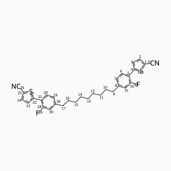 N#Cc1ccc(-c2ccc(CCCCCCCCCc3ccc(-c4ccc(C#N)s4)c(F)c3)cc2F)s1